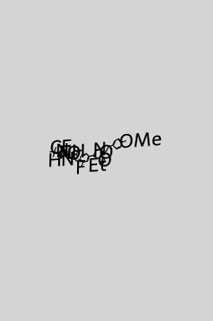 CCOc1cc(-c2ccc(CC(=O)Nc3cc(C(C)(C)C(F)(F)F)n[nH]3)c(F)c2)cnc1OCc1ccc(OC)cc1